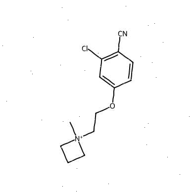 C[N+]1(CCOc2ccc(C#N)c(Cl)c2)CCC1